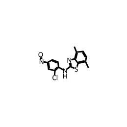 Cc1ccc(C)c2sc(Nc3ccc(N=O)cc3Cl)nc12